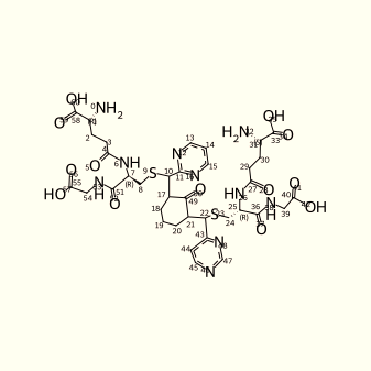 N[C@H](CCC(=O)N[C@@H](CSC(c1ncccn1)C1CCCC(C(SC[C@H](NC(=O)CC[C@H](N)C(=O)O)C(=O)NCC(=O)O)c2ccncn2)C1=O)C(=O)NCC(=O)O)C(=O)O